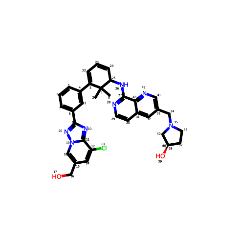 CC1(C)C(c2cccc(-c3nc4c(Cl)cc(CO)cn4n3)c2)=CC=CC1Nc1nccc2cc(CN3CC[C@@H](O)C3)cnc12